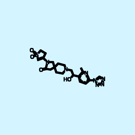 Cc1nc(-n2cnnn2)ccc1C(O)CN1CCC2(CC1)CC(=O)N(C1=CS(=O)(=O)CC1)C2